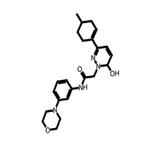 CC1CC=C(C2=NN(CC(=O)Nc3cccc(N4CCOCC4)c3)C(O)C=C2)CC1